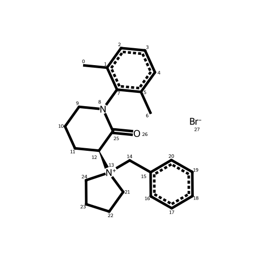 Cc1cccc(C)c1N1CCC[C@H]([N+]2(Cc3ccccc3)CCCC2)C1=O.[Br-]